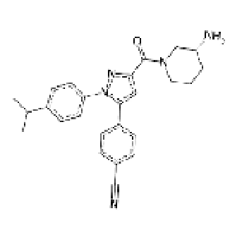 CC(C)c1ccc(-n2nc(C(=O)N3CCC[C@@H](N)C3)cc2-c2ccc(C#N)cc2)cc1